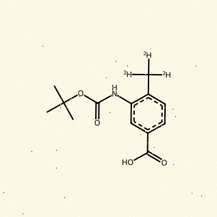 [2H]C([2H])([2H])c1ccc(C(=O)O)cc1NC(=O)OC(C)(C)C